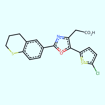 O=C(O)Cc1nc(-c2ccc3c(c2)CCCS3)oc1-c1ccc(Cl)s1